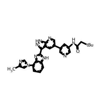 Cc1cn(-c2cccc3[nH]c(-c4n[nH]c5ncc(-c6cncc(NC(=O)CC(C)(C)C)c6)cc45)nc23)cn1